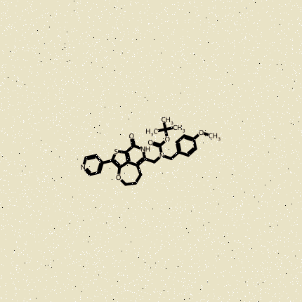 COc1ccc(CN(Cc2[nH]c(=O)c3sc(-c4ccncc4)c4c3c2CCCO4)C(=O)OC(C)(C)C)cc1